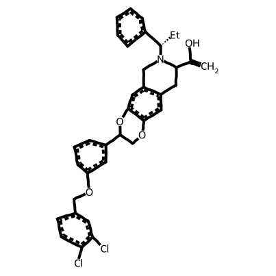 C=C(O)C1Cc2cc3c(cc2CN1[C@@H](CC)c1ccccc1)OC(c1cccc(OCc2ccc(Cl)c(Cl)c2)c1)CO3